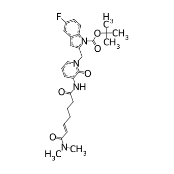 CN(C)C(=O)/C=C/CCCC(=O)Nc1cccn(Cc2cc3cc(F)ccc3n2C(=O)OC(C)(C)C)c1=O